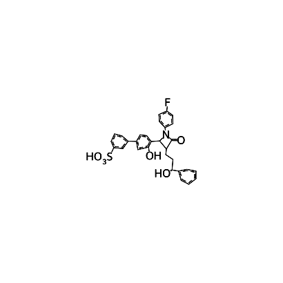 O=C1C(CC[C@H](O)c2ccccc2)C(c2ccc(-c3cccc(S(=O)(=O)O)c3)cc2O)N1c1ccc(F)cc1